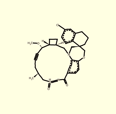 CO[C@H]1C#CC[C@H](C)C/[SH](=O)=N\C(=O)c2ccc3c(c2)N(C[C@@H]2CC[C@H]21)C[C@@]1(CCCc2cc(Cl)ccc21)CO3